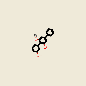 CCOc1cc(-c2ccccc2)cc(O)c1C1CCCC(O)C1